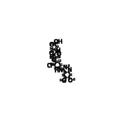 COc1cc2ncnc(Nc3ccc(O[C@H]4CO[C@@H]5[C@@H](CC(=O)O)CO[C@H]54)c(Cl)c3)c2cc1OC